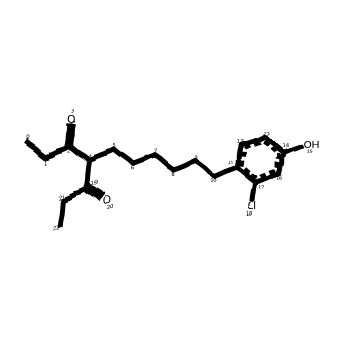 CCC(=O)C(CCCCCCc1ccc(O)cc1Cl)C(=O)CC